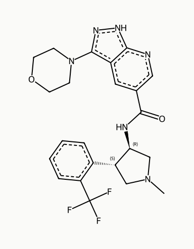 CN1C[C@H](NC(=O)c2cnc3[nH]nc(N4CCOCC4)c3c2)[C@@H](c2ccccc2C(F)(F)F)C1